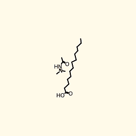 CC(=O)NN(C)C.CCCCCCCCCCCCCC(=O)O